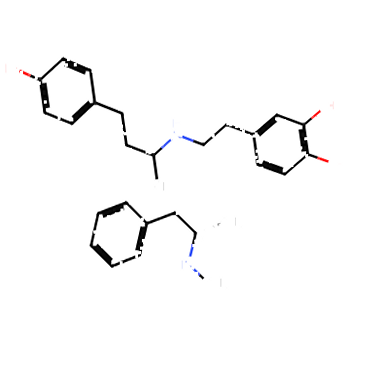 CC(CCc1ccc(O)cc1)NCCc1ccc(O)c(O)c1.CN[C@@H](C)Cc1ccccc1